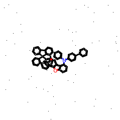 c1ccc(-c2ccc(N(c3ccccc3)c3cccc4oc5c6ccccc6c(-c6cccc7c6C6(c8ccccc8-c8ccccc86)c6ccccc6-7)cc5c34)cc2)cc1